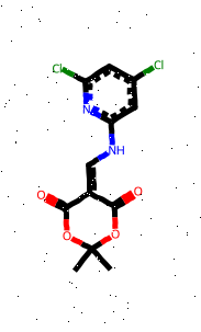 CC1(C)OC(=O)C(=CNc2cc(Cl)cc(Cl)n2)C(=O)O1